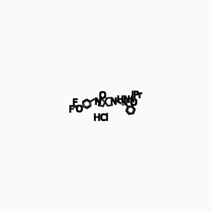 CC(C)C(=O)N[C@@H](CCN1CCC2(CC1)CCN(Cc1ccc(OC(F)F)cc1)C2=O)c1ccccc1.Cl